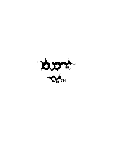 NC(Cc1cc(I)c(Oc2cc(I)c(O)c(I)c2)c(I)c1)C(=O)O.O=C(O)C1CC(O)CN1